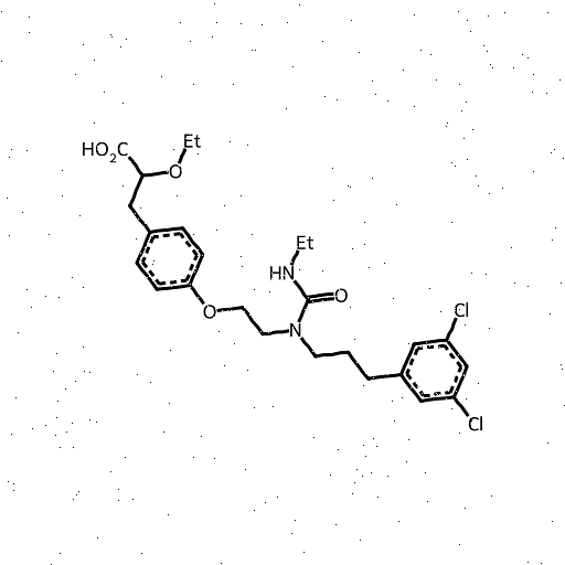 CCNC(=O)N(CCCc1cc(Cl)cc(Cl)c1)CCOc1ccc(CC(OCC)C(=O)O)cc1